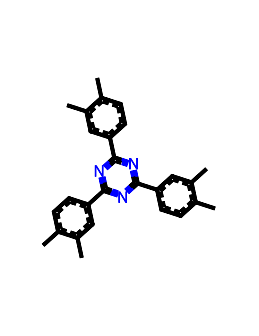 Cc1ccc(-c2nc(-c3ccc(C)c(C)c3)nc(-c3ccc(C)c(C)c3)n2)cc1C